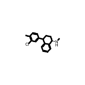 CN[C@H]1CCC(c2ccc(C)c(Cl)c2)c2ccccc21